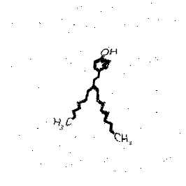 CCCCCCCCCC(CCCCCCC)CCc1ccc(O)cc1